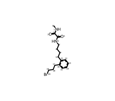 CNC(=O)C(=O)NCCCCc1ccccc1CCCBr